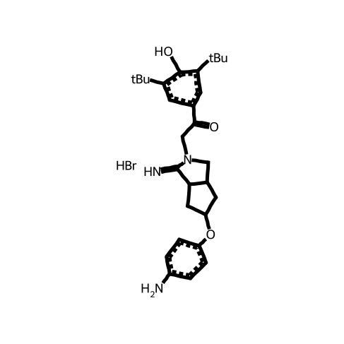 Br.CC(C)(C)c1cc(C(=O)CN2CC3CC(Oc4ccc(N)cc4)CC3C2=N)cc(C(C)(C)C)c1O